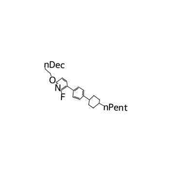 CCCCCCCCCCCCOc1ccc(-c2ccc(C3CCC(CCCCC)CC3)cc2)c(F)n1